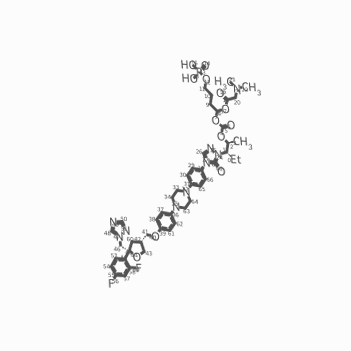 CC[C@@H]([C@H](C)OC(=O)OC(CCCOP(=O)(O)O)OC(=O)CN(C)C)n1ncn(-c2ccc(N3CCN(c4ccc(OC[C@@H]5CO[C@@](Cn6cncn6)(c6ccc(F)cc6F)C5)cc4)CC3)cc2)c1=O